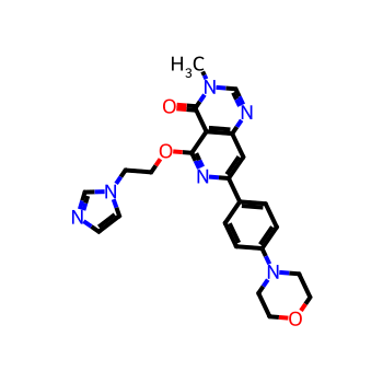 Cn1cnc2cc(-c3ccc(N4CCOCC4)cc3)nc(OCCn3ccnc3)c2c1=O